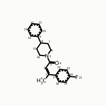 C/C(=C/C(=O)N1CCC(c2ccccc2)CC1)c1ccc(F)cc1